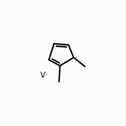 C[C]1C=CC=C1C.[V]